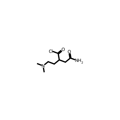 CN(C)CCC(CC(N)=O)C(=O)Cl